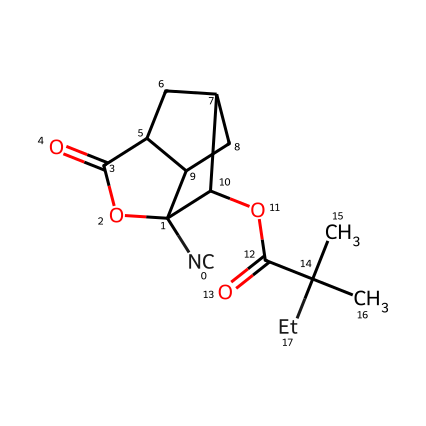 [C-]#[N+]C12OC(=O)C3CC(CC31)C2OC(=O)C(C)(C)CC